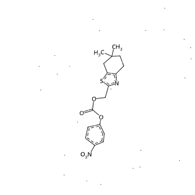 CC1(C)CCc2nc(COC(=O)Oc3ccc([N+](=O)[O-])cc3)sc2C1